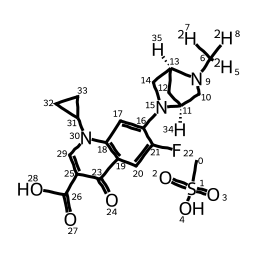 CS(=O)(=O)O.[2H]C([2H])([2H])N1C[C@@H]2C[C@H]1CN2c1cc2c(cc1F)c(=O)c(C(=O)O)cn2C1CC1